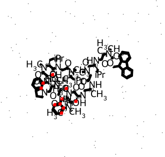 CC(C)C[C@H](NC(=O)[C@H](C)N(C)C(=O)OCC1c2ccccc2-c2ccccc21)C(=O)N(C)CC(=O)N[C@@H](C)C(=O)N[C@@H](CC(C)C)C(=O)N(C)[C@@H](Cc1ccccc1)C(=O)N(C)[C@@H](C)C(=O)NCC(=O)N(C)[C@@H](Cc1ccccc1)C(=O)N1CCC[C@H]1C(=O)N[C@@H](C)C(=O)N(C)[C@@H](CC(C)C)C(=O)NCC(=O)N(C)[C@H](C(=O)O)C(C)C